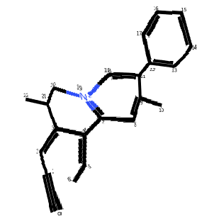 C#C/C=C1\C(=C/C)c2cc(C)c(-c3ccccc3)c[n+]2CC1C